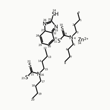 CCCCN(CCCC)C(=S)[S-].CCCCN(CCCC)C(=S)[S-].SC1=NC2C=CC=CC2=N1.[Zn+2]